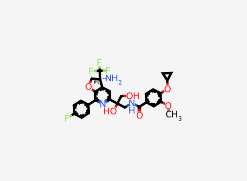 COc1cc(C(=O)NCC(O)(CO)c2cc3c(c(-c4ccc(F)cc4)n2)OC[C@@]3(N)C(F)(F)F)ccc1OC1CC1